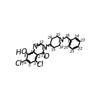 O=c1c2c(Cl)cc(Cl)c(O)c2ncn1C1CCN(Cc2ccccc2)CC1